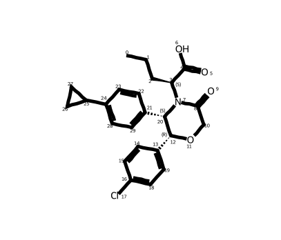 CCC[C@@H](C(=O)O)N1C(=O)CO[C@H](c2ccc(Cl)cc2)[C@@H]1c1ccc(C2CC2)cc1